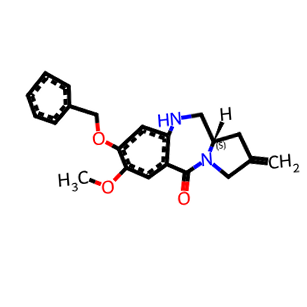 C=C1C[C@H]2CNc3cc(OCc4ccccc4)c(OC)cc3C(=O)N2C1